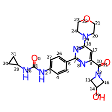 O=C(Nc1ccc(-c2nc(C(=O)N3CC(O)C3)cc(N3CCOCC3)n2)cc1)NC1CC1